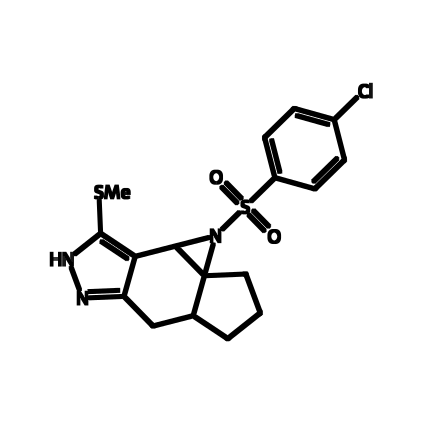 CSc1[nH]nc2c1C1N(S(=O)(=O)c3ccc(Cl)cc3)C13CCCC3C2